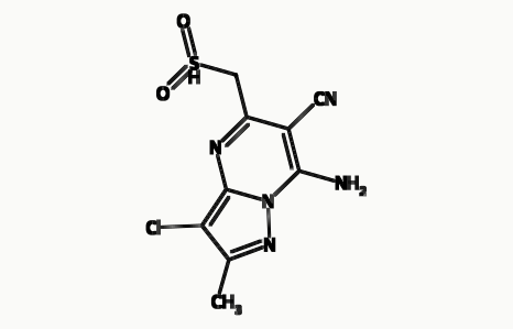 Cc1nn2c(N)c(C#N)c(C[SH](=O)=O)nc2c1Cl